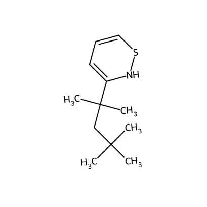 CC(C)(C)CC(C)(C)C1=CC=CSN1